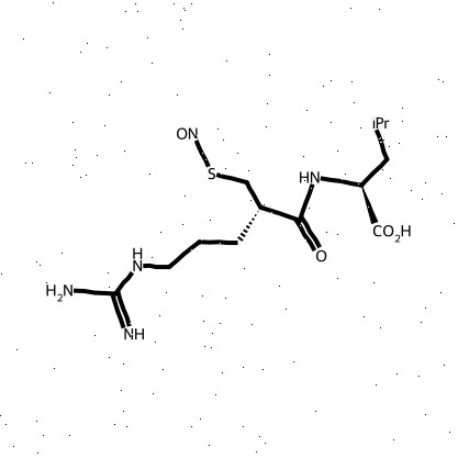 CC(C)C[C@H](NC(=O)[C@H](CCCNC(=N)N)CSN=O)C(=O)O